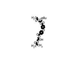 C=CC(=O)OCC(COCCCC)OC(=O)c1ccc(Oc2ccc(C(=O)OCC(O)COC(=O)C(=C)C)cc2)cc1